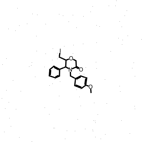 COc1ccc(CN2C(=O)COC(CI)C2c2ccccc2)cc1